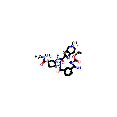 CN1CCc2nc(C(=O)N[C@@H]3C[C@@H](C(=O)N(C)C)CC[C@@H]3NC(=O)c3cccc(C(=N)NC(=O)OC(C)(C)C)c3)sc2C1